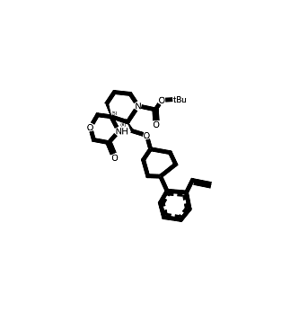 C=Cc1ccccc1C1CCC(OC[C@@H]2N(C(=O)OC(C)(C)C)CCC[C@@]23COCC(=O)N3)CC1